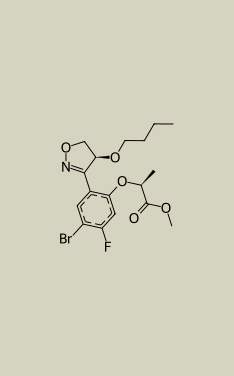 CCCCO[C@@H]1CON=C1c1cc(Br)c(F)cc1O[C@@H](C)C(=O)OC